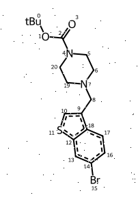 CC(C)(C)OC(=O)N1CCN(Cc2csc3cc(Br)ccc23)CC1